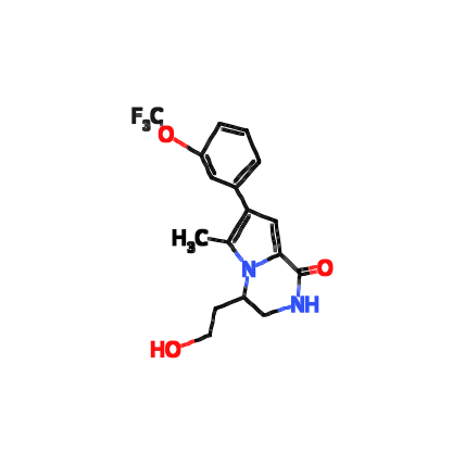 Cc1c(-c2cccc(OC(F)(F)F)c2)cc2n1C(CCO)CNC2=O